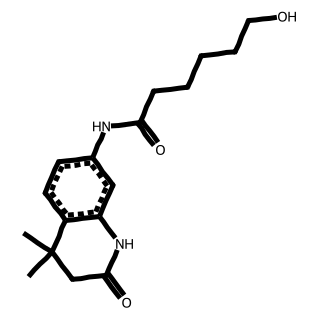 CC1(C)CC(=O)Nc2cc(NC(=O)CCCCCO)ccc21